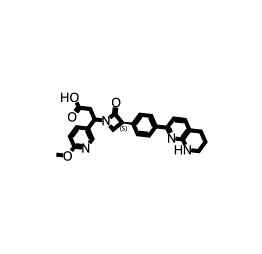 COc1ccc(C(CC(=O)O)N2C[C@H](c3ccc(-c4ccc5c(n4)NCCC5)cc3)C2=O)cn1